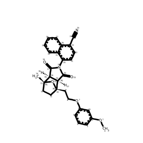 COc1cccc(OCC[C@@]23CC[C@@](C)(O2)[C@H]2C(=O)N(c4ccc(C#N)c5ccccc45)C(=O)[C@H]23)c1